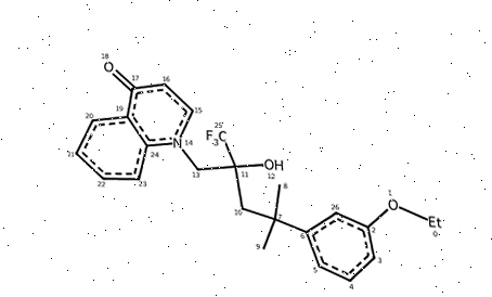 CCOc1cccc(C(C)(C)CC(O)(Cn2ccc(=O)c3ccccc32)C(F)(F)F)c1